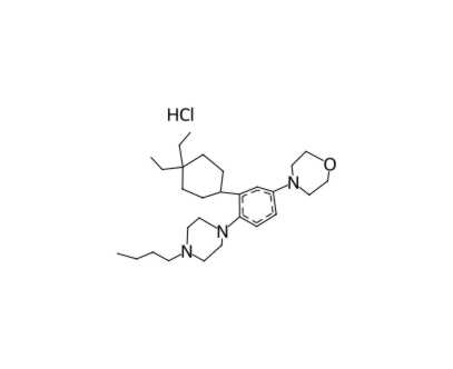 CCCCN1CCN(c2ccc(N3CCOCC3)cc2C2CCC(CC)(CC)CC2)CC1.Cl